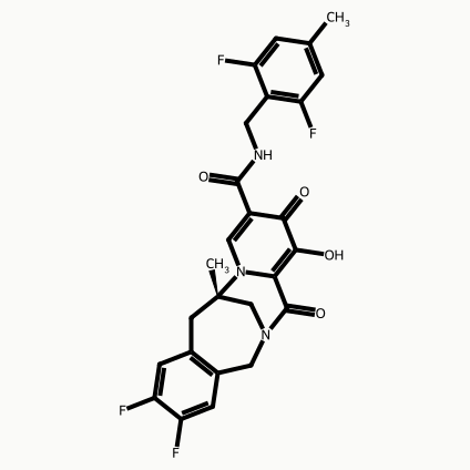 Cc1cc(F)c(CNC(=O)c2cn3c(c(O)c2=O)C(=O)N2Cc4cc(F)c(F)cc4C[C@@]3(C)C2)c(F)c1